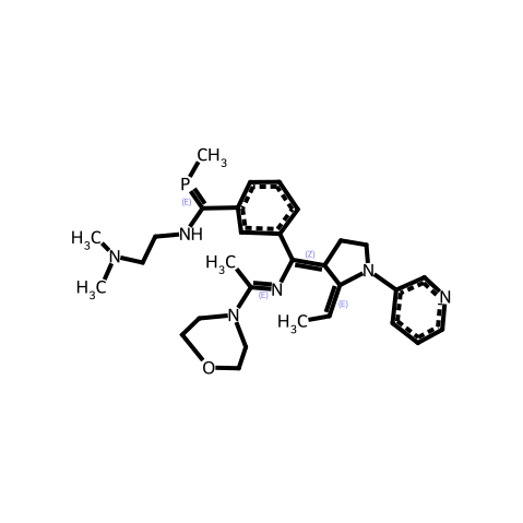 C\C=C1/C(=C(\N=C(/C)N2CCOCC2)c2cccc(/C(NCCN(C)C)=P\C)c2)CCN1c1cccnc1